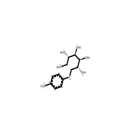 CC(=O)OC[C@H](OC(C)=O)[C@@H](OC(C)=O)[C@@H](OC(C)=O)[C@@H](COc1ccc(N)cc1)OC(C)=O